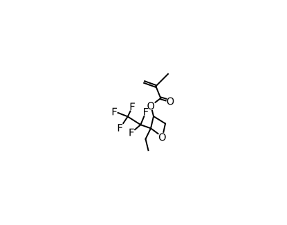 C=C(C)C(=O)OC1COC1(CC)C(F)(F)C(F)(F)F